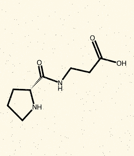 O=C(O)CCNC(=O)[C@H]1CCCN1